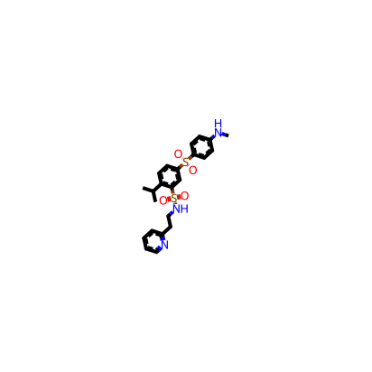 CNc1ccc(S(=O)(=O)c2ccc(C(C)C)c(S(=O)(=O)NCCc3ccccn3)c2)cc1